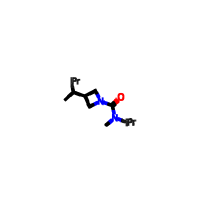 CC(C)C(C)C1CN(C(=O)N(C)C(C)C)C1